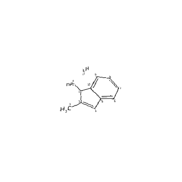 CCC[C]1C(C)=Cc2ccccc21.[LiH]